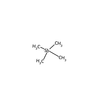 [CH3][Sb]([CH3])([CH3])[CH3]